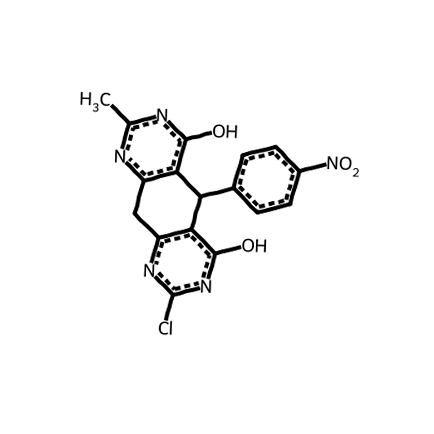 Cc1nc(O)c2c(n1)Cc1nc(Cl)nc(O)c1C2c1ccc([N+](=O)[O-])cc1